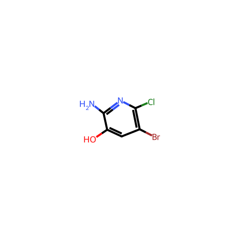 Nc1nc(Cl)c(Br)cc1O